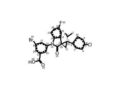 CC(C)[C@]1(c2ccc(Cl)cc2)C[C@]12C(=O)N(c1cc(Br)cc(C(=O)O)c1)c1ccc(F)cc12